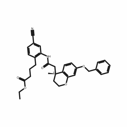 CCOC(=O)CCCc1ccc(C#N)cc1NC(=O)C[C@@]1(C)CCOc2cc(OCc3ccccc3)ccc21